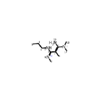 CCCNC(=N/C)/C(C)=C(\N)N(C)C